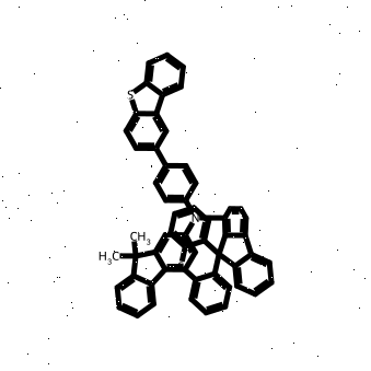 CC1(C)c2ccccc2-c2ccc(N(c3ccc(-c4ccc5sc6ccccc6c5c4)cc3)c3cccc4c3C3(c5ccccc5Sc5ccccc53)c3ccccc3-4)cc21